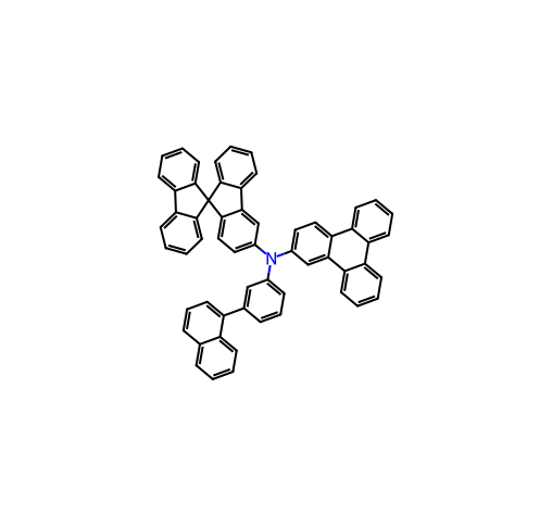 c1cc(-c2cccc3ccccc23)cc(N(c2ccc3c(c2)-c2ccccc2C32c3ccccc3-c3ccccc32)c2ccc3c4ccccc4c4ccccc4c3c2)c1